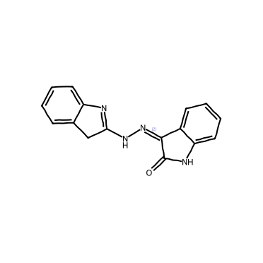 O=C1Nc2ccccc2/C1=N/NC1=Nc2ccccc2C1